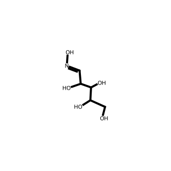 OCC(O)C(O)C(O)C=NO